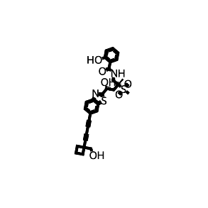 C[C@](CNC(=O)c1ccccc1O)(C[C@@H](O)c1nc2ccc(C#CC#CC3(CO)CCC3)cc2s1)S(C)(=O)=O